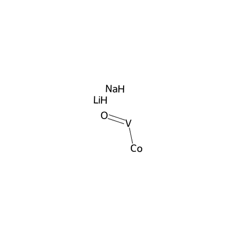 [LiH].[NaH].[O]=[V][Co]